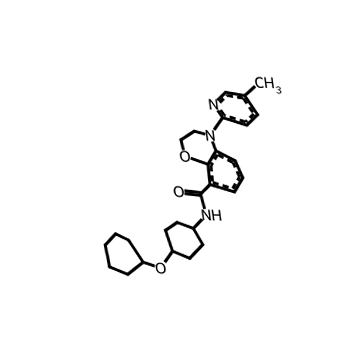 Cc1ccc(N2CCOc3c(C(=O)NC4CCC(OC5CCCCC5)CC4)cccc32)nc1